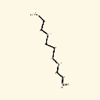 CCCCCCCCCCCCSCCCSCCCCCCCCCCCC